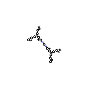 CC1(C)c2ccccc2-c2ccc(-c3ccc(N(c4ccc(-c5ccc6c(c5)C(C)(C)c5ccccc5-6)cc4)c4ccc5c(c4)C(C)(C)c4cc(/C=C/c6ccc(/C=C/c7ccc8c(c7)C(C)(C)c7cc(N(c9ccc(-c%10ccc%11c(c%10)C(C)(C)c%10ccccc%10-%11)cc9)c9ccc(-c%10ccc%11c(c%10)C(C)(C)c%10ccccc%10-%11)cc9)ccc7-8)cc6)ccc4-5)cc3)cc21